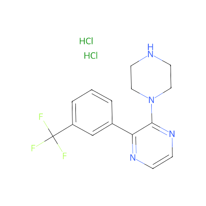 Cl.Cl.FC(F)(F)c1cccc(-c2nccnc2N2CCNCC2)c1